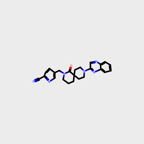 N#Cc1ccc(CN2CCCC3(CCN(c4cnc5ccccc5n4)CC3)C2=O)cn1